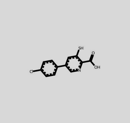 O=C(O)c1ncc(-c2ccc(Cl)cc2)cc1S